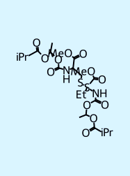 CCS(NC(=O)OC(C)OC(=O)C(C)C)(SCC(NC(=O)OC(C)OC(=O)C(C)C)C(=O)OC)C(=O)OC